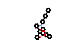 c1ccc(-c2ccc(-c3ccc(N(c4ccc(-c5ccc6ccccc6c5)cc4)c4ccccc4-c4cc5c6c(cccc6c4)Oc4ccccc4-5)cc3)cc2)cc1